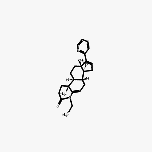 CCN1C(=O)CC[C@@]2(C)C1=CC[C@@H]1[C@@H]2CC[C@]2(C)C(c3cnccn3)=CC[C@@H]12